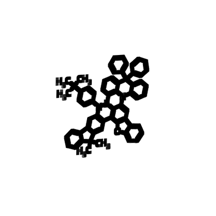 CC(C)(C)c1ccc(N2B3c4cccc5c4N(c4ccccc4C5(c4ccccc4)c4ccccc4)c4cc5c(oc6ccccc65)c(c43)-c3cc4c(cc32)-c2ccccc2C4(C)C)cc1